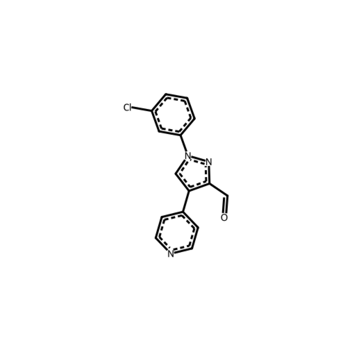 O=Cc1nn(-c2cccc(Cl)c2)cc1-c1ccncc1